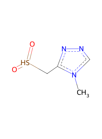 Cn1cnnc1C[SH](=O)=O